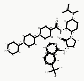 CC(C)N(C)[C@@H]1CC[C@H](N2CC[C@H](Nc3ncnc4ccc(C(F)(F)F)cc34)C2=O)[C@H](NC(=O)C2CCN(C3CCN(C4CCNCC4)CC3)CC2)C1